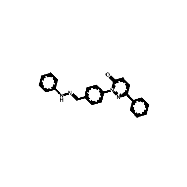 O=c1ccc(-c2ccccc2)nn1-c1ccc(C=NNc2ccccc2)cc1